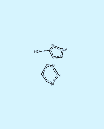 Oc1cc[nH]n1.c1cnnnc1